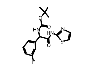 CC(C)(C)OC(=O)NC(C(=O)Nc1nccs1)c1cccc(F)c1